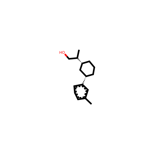 Cc1cccc([C@H]2CCC[C@@H](C(C)CO)C2)c1